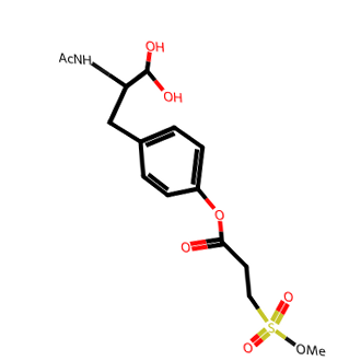 COS(=O)(=O)CCC(=O)Oc1ccc(CC(NC(C)=O)C(O)O)cc1